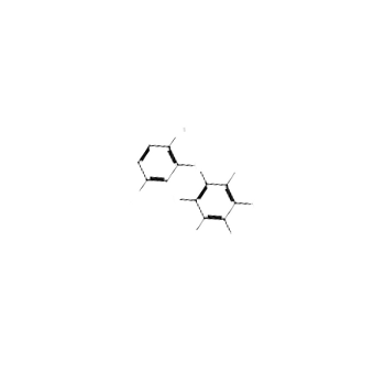 Cc1ccc(O)c(Pc2c(F)c(F)c(F)c(F)c2F)c1